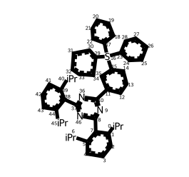 CC(C)c1cccc(C(C)C)c1-c1nc(-c2cccc(S(c3ccccc3)(c3ccccc3)c3ccccc3)c2)nc(-c2c(C(C)C)cccc2C(C)C)n1